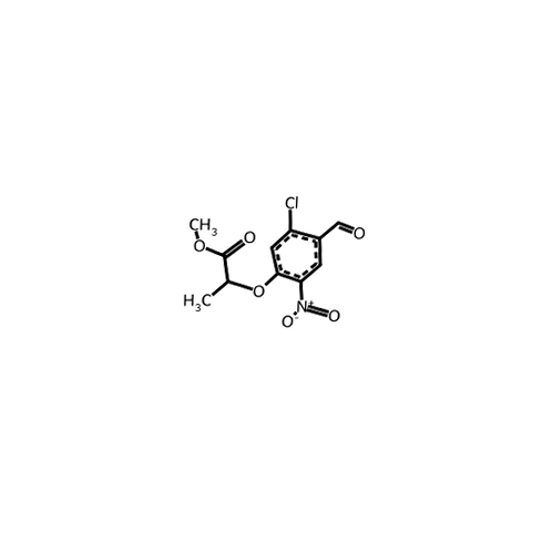 COC(=O)C(C)Oc1cc(Cl)c(C=O)cc1[N+](=O)[O-]